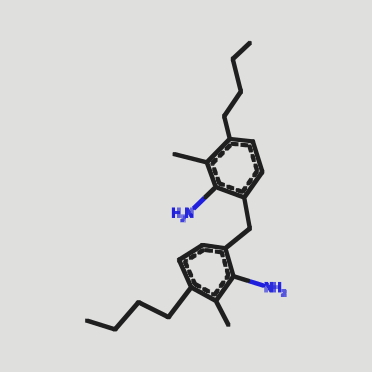 CCCCc1ccc(Cc2ccc(CCCC)c(C)c2N)c(N)c1C